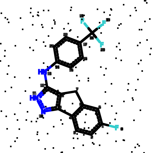 Fc1ccc2c(c1)Cc1c-2n[nH]c1Nc1ccc(C(F)(F)F)cc1